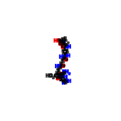 C[C@@H](NC(=O)c1ccc(NNC(=O)CCCC(=O)NCCCC[C@H](NC(=O)[C@H](Cc2c[nH]cn2)NC(=O)CN)C(=O)O)cc1)C(=O)N1CCC[C@H]1B(O)O